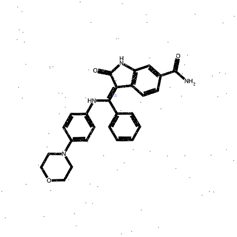 NC(=O)c1ccc2c(c1)NC(=O)/C2=C(\Nc1ccc(N2CCOCC2)cc1)c1ccccc1